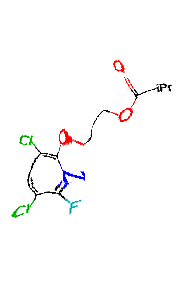 CC(C)C(=O)OCCOc1nc(F)c(Cl)cc1Cl